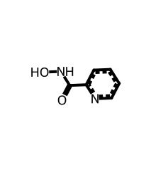 O=C(NO)c1ccccn1